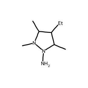 CCC1C(C)N(C)N(N)C1C